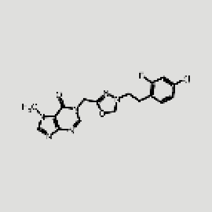 Cn1cnc2ncn(CC3=NN(CCc4ccc(Cl)cc4F)CO3)c(=O)c21